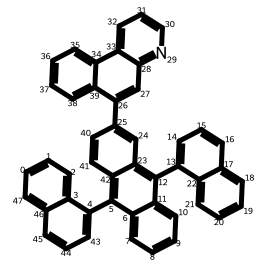 c1ccc2c(-c3c4ccccc4c(-c4cccc5ccccc45)c4cc(-c5cc6ncccc6c6ccccc56)ccc34)cccc2c1